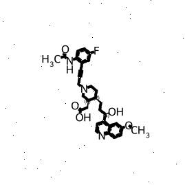 COc1ccc2nccc([C@@H](O)CC[C@@H]3CCN(CC#Cc4cc(F)ccc4NC(C)=O)C[C@@H]3CC(=O)O)c2c1